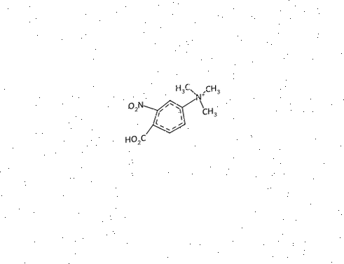 C[N+](C)(C)c1ccc(C(=O)O)c([N+](=O)[O-])c1